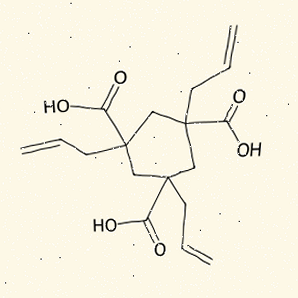 C=CCC1(C(=O)O)CC(CC=C)(C(=O)O)CC(CC=C)(C(=O)O)C1